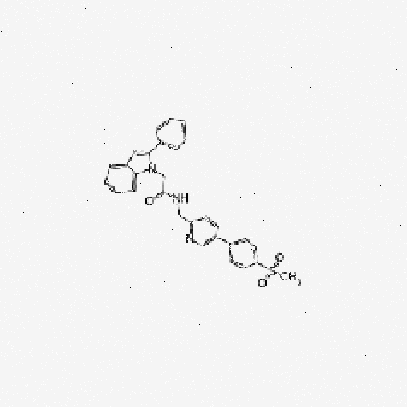 CS(=O)(=O)c1ccc(-c2ccc(CNC(=O)Cn3c(-c4ccccc4)cc4ccccc43)nc2)cc1